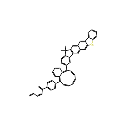 C=C/C=C\C(=C)c1ccc(-c2ccccccc(-c3ccc4c(c3)-c3cc5cc6sc7ccccc7c6cc5cc3C4(C)C)c3ccccc23)cc1